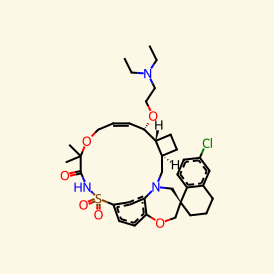 CCN(CC)CCO[C@H]1C=CCOC(C)(C)C(=O)NS(=O)(=O)c2ccc3c(c2)N(C[C@@H]2CC[C@H]21)C[C@@]1(CCCc2cc(Cl)ccc21)CO3